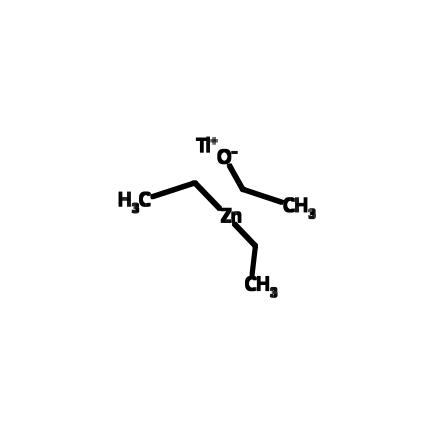 CC[O-].C[CH2][Zn][CH2]C.[Tl+]